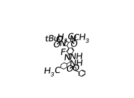 CC1CCC([C@H](NC(=O)OCc2ccccc2)c2nc3c(F)c(C4CN(C(=O)OC(C)(C)C)CC4C(=O)N(C)C)ccc3[nH]2)CC1